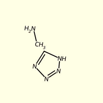 CN.c1nnn[nH]1